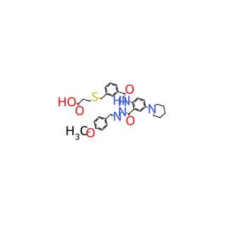 COc1ccc(C=NNC(=O)c2cc(N3CCCCC3)ccc2NC(=O)c2cccc(CSCCC(=O)O)c2)cc1